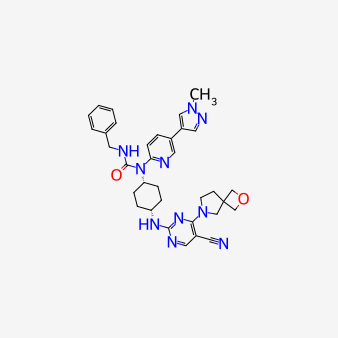 Cn1cc(-c2ccc(N(C(=O)NCc3ccccc3)[C@H]3CC[C@@H](Nc4ncc(C#N)c(N5CCC6(COC6)C5)n4)CC3)nc2)cn1